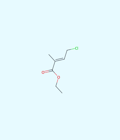 CCOC(=O)C(C)=CCCl